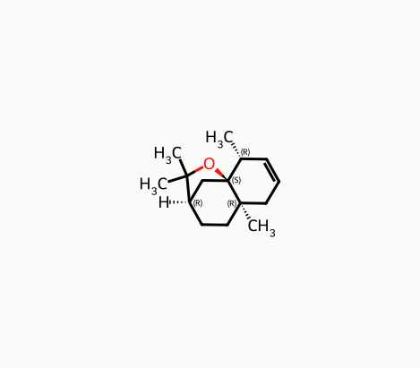 C[C@@H]1C=CC[C@@]2(C)CC[C@@H]3C[C@]12OC3(C)C